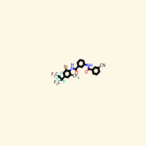 N#Cc1cccc(C(=O)Nc2cccc(C(=O)Nc3c(Br)cc(C(F)(C(F)(F)F)C(F)(F)C(F)(F)F)cc3C(F)(F)F)c2)c1